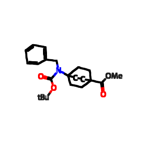 COC(=O)C12CCC(N(Cc3ccccc3)C(=O)OC(C)(C)C)(CC1)CC2